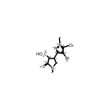 CN1CC(c2nn(C)c(Cl)c2Br)C(C(=O)O)C1=S